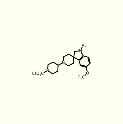 CCOC(=O)N1CCC(N2CCC3(CC2)CN(C(C)=O)c2ccc(OC(F)(F)F)cc23)CC1